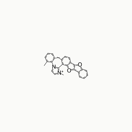 Cc1cccc(C)c1-n1cc[n+](C)c1-c1c(C)ccc2c1oc1c3ccccc3oc21